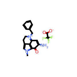 Cn1cc2c3c1C(=O)C(N)=CC3=[N+](Cc1ccccc1)CC2.O=C([O-])C(F)(F)F